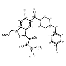 CSCN1CC(C(=O)C(=O)N(C)C)c2cc(C(=O)N3CCC(Cc4ccc(F)cc4)CC3)c(Cl)cc21